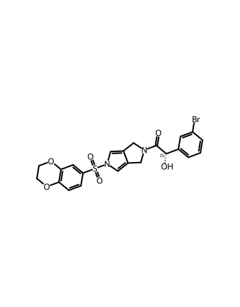 O=C([C@@H](O)c1cccc(Br)c1)N1Cc2cn(S(=O)(=O)c3ccc4c(c3)OCCO4)cc2C1